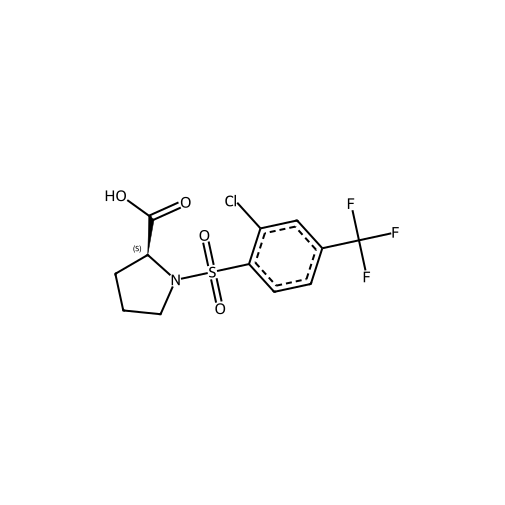 O=C(O)[C@@H]1CCCN1S(=O)(=O)c1ccc(C(F)(F)F)cc1Cl